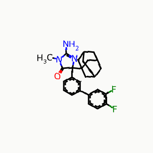 CN1C(=O)C(c2cccc(-c3ccc(F)c(F)c3)c2)(C23CC4CC(CC(C4)C2)C3)N=C1N